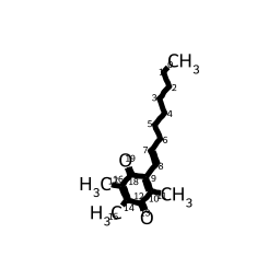 CCCCCCCC=CC1=C(C)C(=O)C(C)=C(C)C1=O